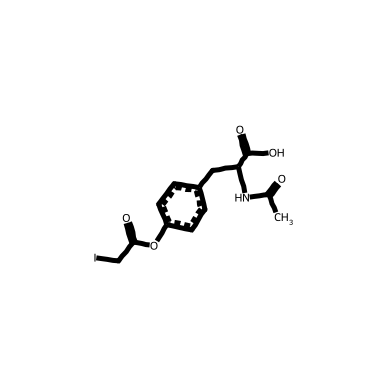 CC(=O)NC(Cc1ccc(OC(=O)CI)cc1)C(=O)O